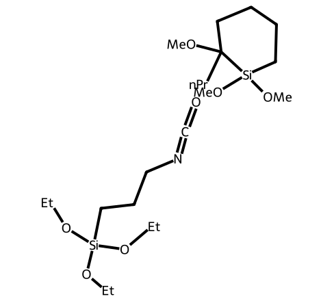 CCCC1(OC)CCCC[Si]1(OC)OC.CCO[Si](CCCN=C=O)(OCC)OCC